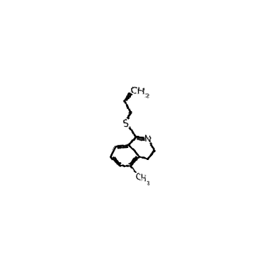 C=CCSC1=NCCc2c(C)cccc21